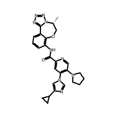 C[C@@H]1COc2c(NC(=O)c3cc(-n4cnc(C5CC5)c4)c(N4CCCC4)cn3)cccc2-c2nnnn21